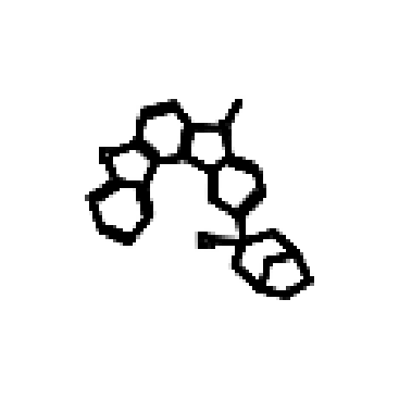 CCC1(c2ccc3c(c2)c2c4c(ccc2n3C)oc2ccccc24)CC2CCC(C2)C1